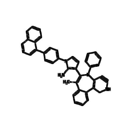 CC1=C(c2ccn(-c3ccc(-c4cccc5ccccc45)cc3)c2N)N(c2ccccc2)C2=C(CNC#C2)c2ccccc21